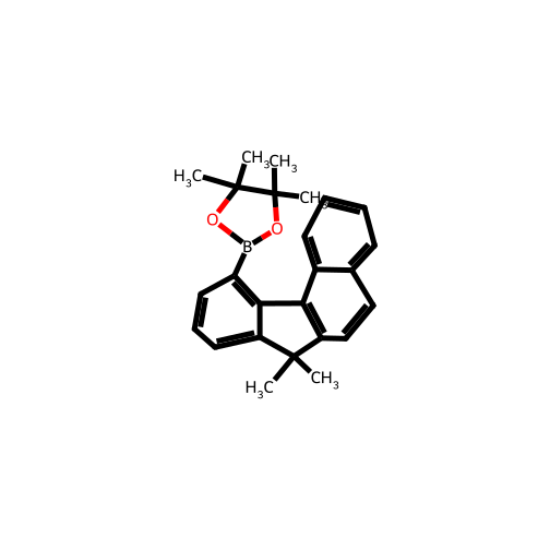 CC1(C)c2cccc(B3OC(C)(C)C(C)(C)O3)c2-c2c1ccc1ccccc21